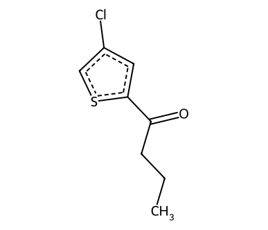 CCCC(=O)c1cc(Cl)cs1